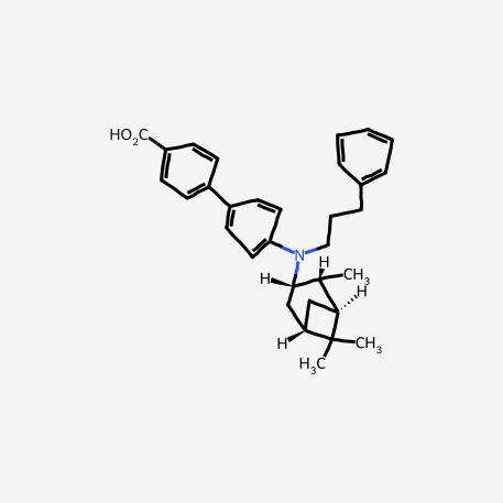 C[C@H]1[C@@H](N(CCCc2ccccc2)c2ccc(-c3ccc(C(=O)O)cc3)cc2)C[C@@H]2C[C@@H]1C2(C)C